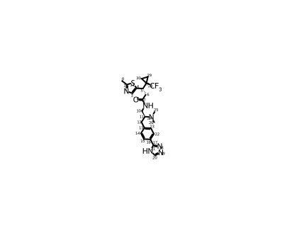 Cc1ncc([C@@H](CC(=O)NC[C@H](Cc2ccc(-c3nnc[nH]3)cc2)N(C)C)C2(C(F)(F)F)CC2)s1